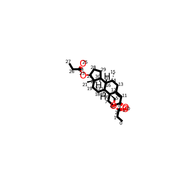 CCC(=O)OC[C@]12CCC(=O)C=C1C[C@@H](C)[C@@H]1[C@@H]2CC[C@]2(C)[C@@H](OC(=O)CC)CC[C@@H]12